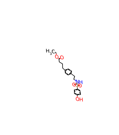 CCOC(=O)CCCc1ccc(CCNS(=O)(=O)c2ccc(O)cc2)cc1